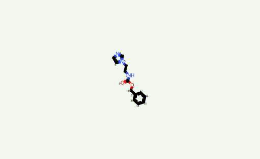 O=C(NCCn1ccnc1)OCc1ccccc1